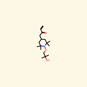 C=CC(=O)CC1CC(C)(C)N(OCC(C)(C)O)C(C)(C)C1